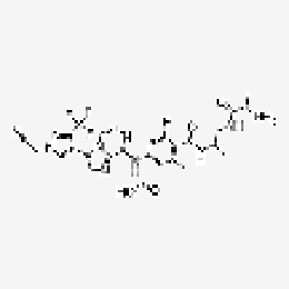 Cc1cc(Nc2nccn3c(-c4cn(CC#N)nc4C(F)(F)F)cnc23)cc(F)c1C(=O)NC(C)CNC(=O)C(C)N.O=CO